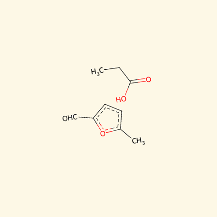 CCC(=O)O.Cc1ccc(C=O)o1